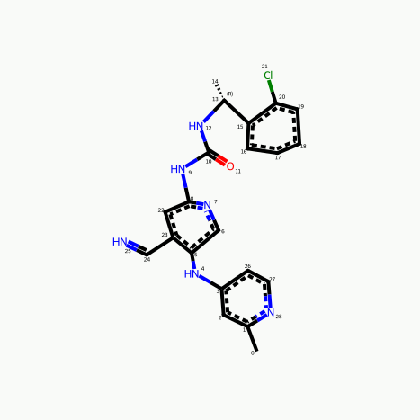 Cc1cc(Nc2cnc(NC(=O)N[C@H](C)c3ccccc3Cl)cc2C=N)ccn1